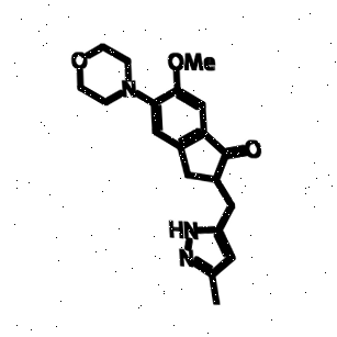 COc1cc2c(cc1N1CCOCC1)CC(Cc1cc(C)n[nH]1)C2=O